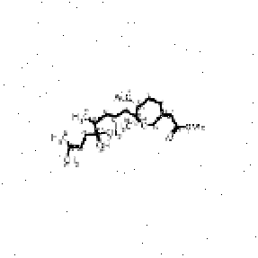 COC(=O)C=C1CC[C@@H](OC(C)=O)[C@](C)(CCCC(C)C(C)(O)CC=C(C)C)OC1